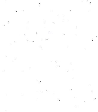 COc1c(CN2O[C@@H](CN)[C@@H]([C@H](C)OC(C)=O)[C@H]2C(=O)N[C@H]2C[C@@H](C)C(C)(C)[C@@H](C)[C@@H]2C)cccc1-c1cc(CN(C)C(C)=O)cc(N(C)C)c1